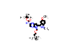 COc1ccc2c(c1)c(-c1cc3nc(NC(=O)OC(C)(C)C)cnc3n1COCC[Si](C)(C)C)nn2C